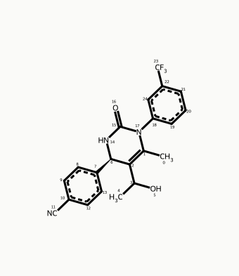 CC1=C(C(C)O)[C@@H](c2ccc(C#N)cc2)NC(=O)N1c1cccc(C(F)(F)F)c1